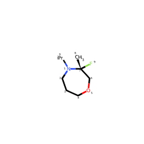 CC(C)N1CCCOC[C@@]1(C)F